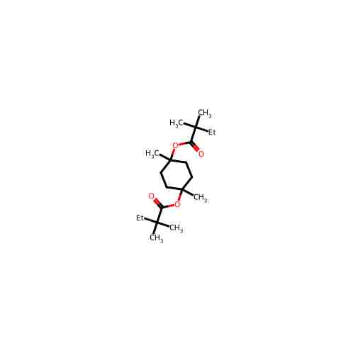 CCC(C)(C)C(=O)OC1(C)CCC(C)(OC(=O)C(C)(C)CC)CC1